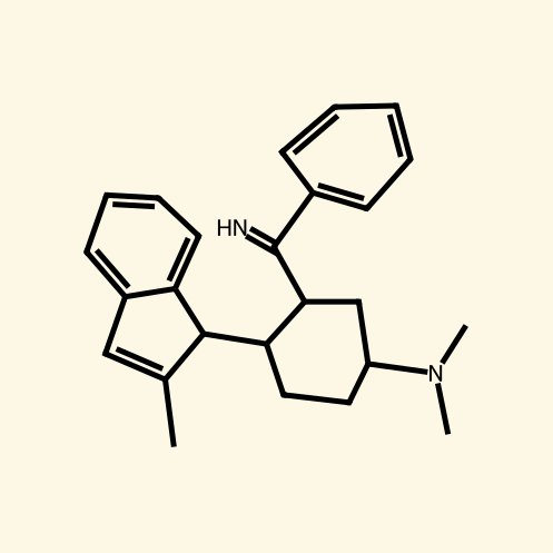 CC1=Cc2ccccc2C1C1CCC(N(C)C)CC1C(=N)c1ccccc1